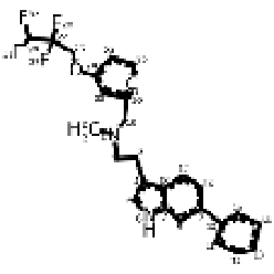 CN(CCc1c[nH]c2cc(-c3ccccc3)ccc12)Cc1cccc(OCC(F)(F)C(F)F)c1